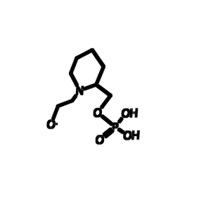 [O]CCN1CCCCC1COP(=O)(O)O